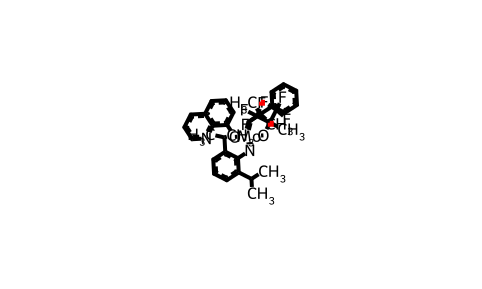 CC(C)c1cccc(C(C)C)c1[N]=[Mo](=[CH]C(C)(C)c1ccccc1)([O]c1cccc2cccnc12)[O]C(C)(C(F)(F)F)C(F)(F)F